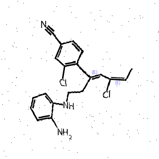 C/C=C(Cl)\C=C(/CCNc1ccccc1N)c1ccc(C#N)cc1Cl